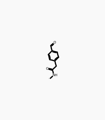 [CH2]NC(=O)Cc1ccc(C=O)cc1